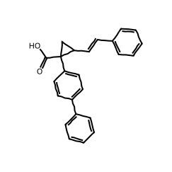 O=C(O)C1(c2ccc(-c3ccccc3)cc2)CC1C=Cc1ccccc1